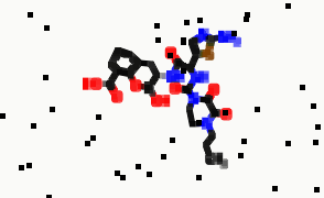 CCCN1CCN(C(=O)NC(C(=O)N[C@H]2Cc3cccc(C(=O)O)c3OB2O)c2cnc(N)s2)C(=O)C1=O